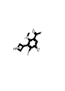 COc1c(C(C)=O)cc(Cl)c(F)c1C1CNC1